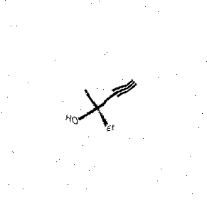 C#C[C@@](C)(O)CC